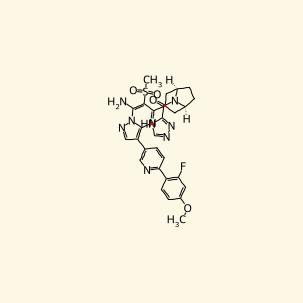 COc1ccc(-c2ccc(-c3cnn4c(N)c(S(C)(=O)=O)c(C5C[C@H]6CC[C@@H](C5)N6C(=O)c5nnc[nH]5)nc34)cn2)c(F)c1